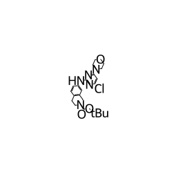 CC(C)(C)OC(=O)N1CCc2ccc(Nc3nc(Cl)cc(N4CCOCC4)n3)cc2C1